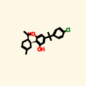 CC1=CC[C@@H](C(C)C)[C@H](c2c(O)cc(C(C)(C)c3ccc(Cl)cc3)cc2O)C1